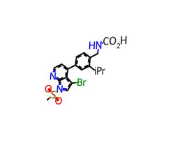 CC(C)c1cc(-c2ccnc3c2c(Br)cn3S(C)(=O)=O)ccc1CNC(=O)O